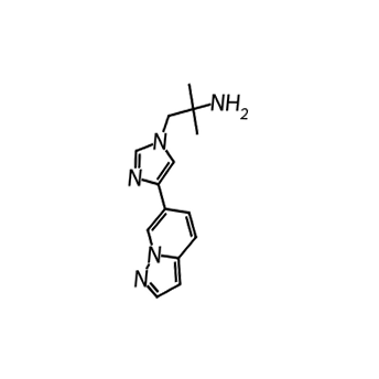 CC(C)(N)Cn1cnc(-c2ccc3ccnn3c2)c1